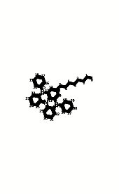 CCCCCCCCc1cc2c3c(c1)B(c1ccccc1)c1ccccc1N3c1ccccc1B2c1ccccc1